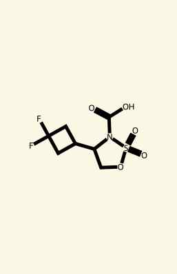 O=C(O)N1C(C2CC(F)(F)C2)COS1(=O)=O